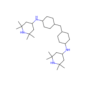 CC1(C)CC(NC2CCC(CC3CCC(NC4CC(C)(C)NC(C)(C)C4)CC3)CC2)CC(C)(C)N1